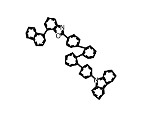 c1ccc(-c2ccccc2-c2ccc(-n3c4ccccc4c4ccccc43)cc2)c(-c2ccc(-c3nc4cccc(-c5cccc6ccccc56)c4o3)cc2)c1